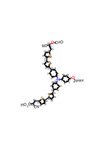 CCCCCCOc1ccc(N(c2ccc(-c3ccc(-c4ccc(/C=C(\C#N)OC=O)s4)s3)cc2)c2ccc(-c3ccc(-c4ccc(/C=C(\C#N)C(=O)O)s4)s3)cc2)cc1